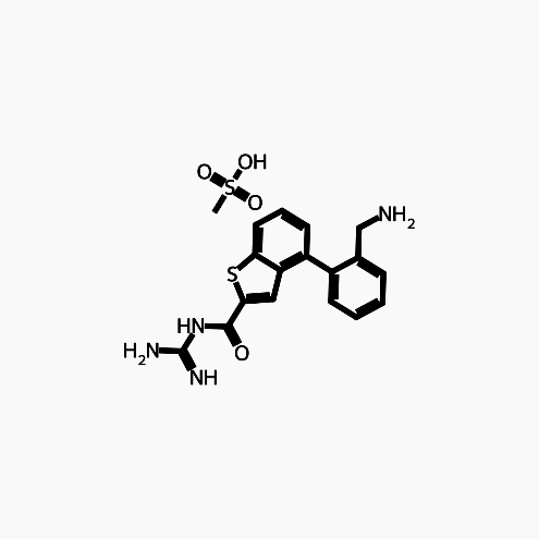 CS(=O)(=O)O.N=C(N)NC(=O)c1cc2c(-c3ccccc3CN)cccc2s1